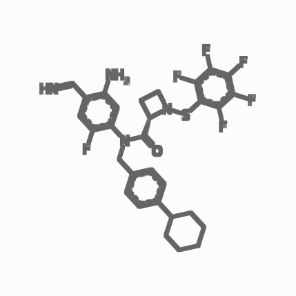 N=Cc1cc(F)c(N(Cc2ccc(C3CCCCC3)cc2)C(=O)[C@H]2CCN2Sc2c(F)c(F)c(F)c(F)c2F)cc1N